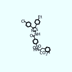 CCc1ccc(-c2sc(NC(=O)c3ccc(S(=O)(=O)N[C@@H](Cc4ccccc4)C(=O)O)cc3)nc2-c2ccc(Cl)cc2)cc1